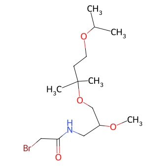 COC(CNC(=O)CBr)COC(C)(C)CCOC(C)C